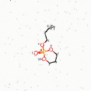 CC(C)CCOP1(=O)OCCCO1